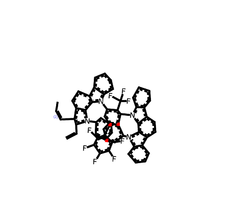 C=Cc1c(/C=C\C)c2ccc3c4ccccc4n(-c4cc(-c5c(F)c(F)c(F)c(F)c5F)cc(-n5c6ccccc6c6ccc7c8ccccc8n(-c8ccccc8)c7c65)c4C(F)(F)F)c3c2n1-c1ccccc1